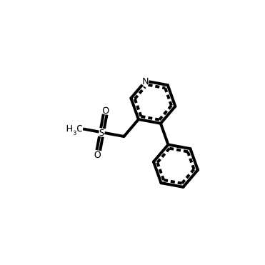 CS(=O)(=O)Cc1cnccc1-c1ccccc1